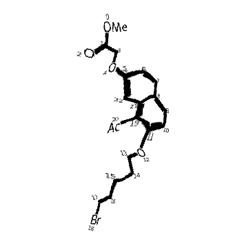 COC(=O)COc1ccc2ccc(OCCCCCBr)c(C(C)=O)c2c1